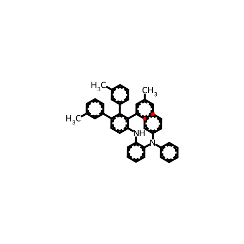 Cc1cccc(-c2ccc(Nc3ccccc3N(c3ccccc3)c3ccccc3)c(-c3cccc(C)c3)c2-c2cccc(C)c2)c1